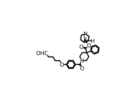 O=CCCCCOc1ccc(C(=O)N2CCC(C(=O)O[C@H]3CN4CCC3CC4)(c3ccccc3)CC2)cc1